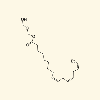 CC/C=C\C/C=C\C/C=C\CCCCCCCC(=O)OCOCO